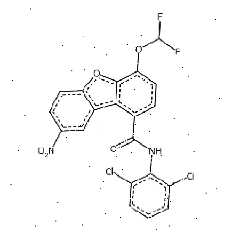 O=C(Nc1c(Cl)cccc1Cl)c1ccc(OC(F)F)c2oc3ccc([N+](=O)[O-])cc3c12